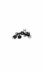 Cc1ncc(Cl)cc1C(=O)NC1CCC(Cn2c(=O)n(-c3ccncc3)c3ccccc32)CC1